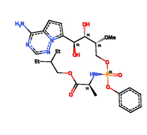 CCC(CC)COC(=O)[C@H](C)N[P@](=O)(OC[C@@H](OC)[C@@H](O)[C@@H](O)c1ccc2c(N)ncnn12)Oc1ccccc1